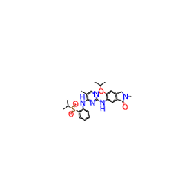 Cc1cnc(Nc2cc3c(cc2OC(C)C)CN(C)C3=O)nc1Nc1ccccc1S(=O)(=O)C(C)C